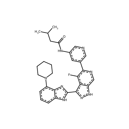 CC(C)CC(=O)Nc1cncc(-c2ncc3[nH]nc(-c4nc5c(N6CCCCC6)cccc5[nH]4)c3c2F)c1